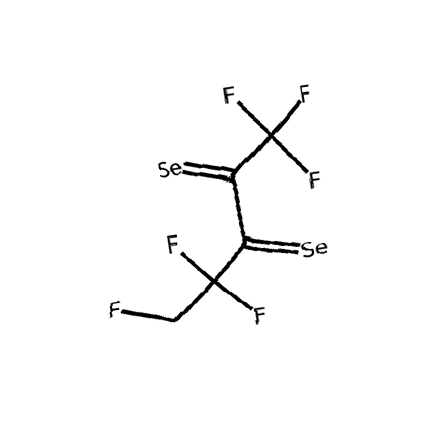 FCC(F)(F)C(=[Se])C(=[Se])C(F)(F)F